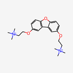 C[N+](C)(C)CCOc1ccc2oc3ccc(OCC[N+](C)(C)C)cc3c2c1